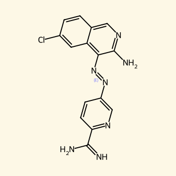 N=C(N)c1ccc(/N=N/c2c(N)ncc3ccc(Cl)cc23)cn1